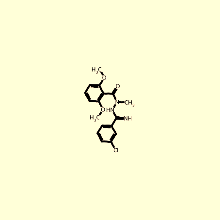 COc1cccc(OC)c1C(=O)N(C)NC(=N)c1cccc(Cl)c1